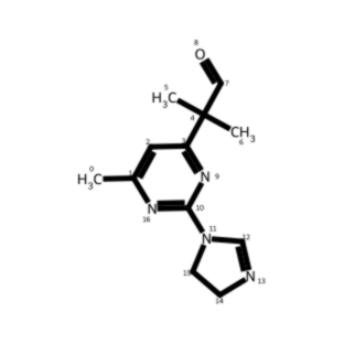 Cc1cc(C(C)(C)C=O)nc(N2C=NCC2)n1